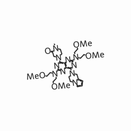 COCCN(CCOC)c1nc(N2CCn3cccc3C2)c2nc(N(CCOC)CCOC)nc(N3CCN(C)C(=O)C3)c2n1